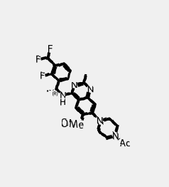 COc1cc2c(N[C@H](C)c3cccc(C(F)F)c3F)nc(C)nc2cc1N1CCN(C(C)=O)CC1